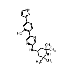 CC1(C)CC(Nc2cnc(-c3ccc(-c4cc[nH]n4)cc3O)cn2)CC(C)(C)N1